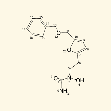 NC(=O)N(O)CCc1ccc(COCc2ccccc2)o1